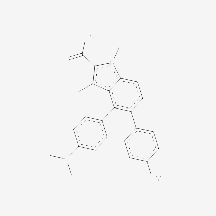 COC(=O)c1c(C)c2c(-c3ccc(N(C)C)cc3)c(-c3ccc(OC)cc3)ccc2n1C